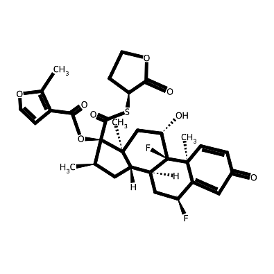 Cc1occc1C(=O)O[C@]1(C(=O)S[C@H]2CCOC2=O)[C@H](C)C[C@H]2[C@@H]3C[C@H](F)C4=CC(=O)C=C[C@]4(C)[C@@]3(F)[C@@H](O)C[C@@]21C